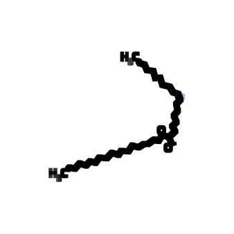 CCCCCCCCCC/C=C\CCCCCCC([C]=O)C(=O)C=CCCCCCCCCCCCCCCCCC